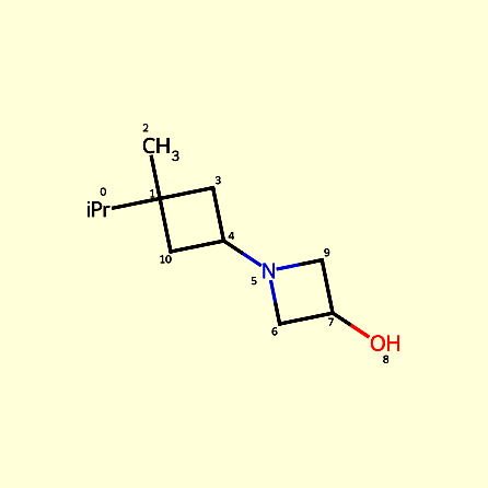 CC(C)C1(C)CC(N2CC(O)C2)C1